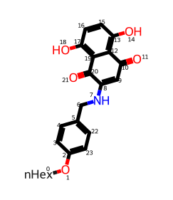 CCCCCCOc1ccc(CNC2=CC(=O)c3c(O)ccc(O)c3C2=O)cc1